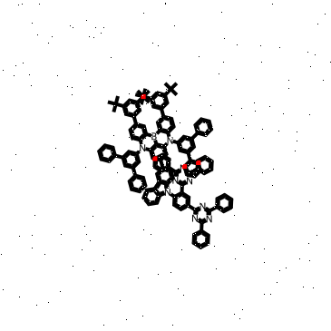 CC(C)(C)c1cc(-c2ccc3c(c2)B2c4cc(-c5cc(C(C)(C)C)cc(C(C)(C)C)c5)ccc4N(c4cc(-c5ccccc5)cc(-c5ccccc5)c4)c4cc(-c5ccc6c(c5)c5ccccc5n6-c5ccc(-c6nc(-c7ccccc7)nc(-c7ccccc7)n6)cc5-c5nc(-c6ccccc6)nc(-c6ccccc6)n5)cc(c42)N3c2cc(-c3ccccc3)cc(-c3ccccc3)c2)cc(C(C)(C)C)c1